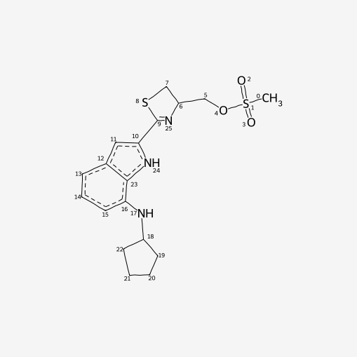 CS(=O)(=O)OCC1CSC(c2cc3cccc(NC4CCCC4)c3[nH]2)=N1